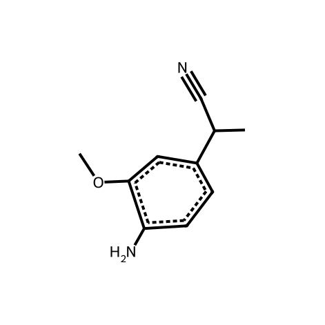 COc1cc(C(C)C#N)ccc1N